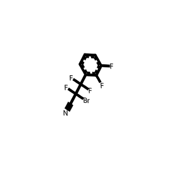 N#CC(F)(Br)C(F)(F)c1cccc(F)c1F